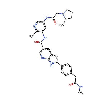 CNC(=O)Cc1ccc(-c2cc3cc(C(=O)Nc4cc(NC(=O)CN5CCC[C@@H]5C)cnc4C)cnc3[nH]2)cc1